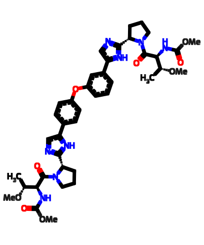 COC(=O)N[C@H](C(=O)N1CCC[C@H]1c1ncc(-c2ccc(Oc3cccc(-c4cnc([C@@H]5CCCN5C(=O)[C@@H](NC(=O)OC)[C@@H](C)OC)[nH]4)c3)cc2)[nH]1)[C@@H](C)OC